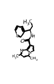 CCC(NC(=O)c1ccn2c(C)cc(C)nc12)c1cccnc1